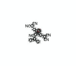 N#Cc1cc(C#N)cc(-c2ccc3c(c2)c2ccccc2n3-c2cc(C#N)c(-c3cc(-c4ccccc4)nc(-c4ccccc4)c3)cc2-n2c3ccccc3c3cc(-c4cc(C#N)cc(C#N)c4)ccc32)c1